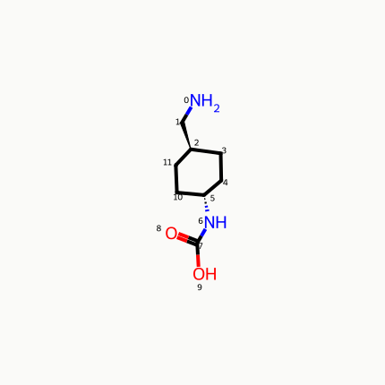 NC[C@H]1CC[C@H](NC(=O)O)CC1